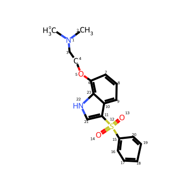 CN(C)CCOc1cccc2c(S(=O)(=O)c3ccccc3)c[nH]c12